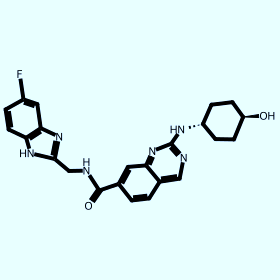 O=C(NCc1nc2cc(F)ccc2[nH]1)c1ccc2cnc(N[C@H]3CC[C@H](O)CC3)nc2c1